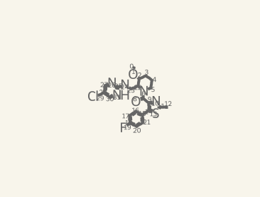 COC1CCCN(C(=O)c2nc(C)sc2-c2ccc(F)cc2)C1CNc1ncc(Cl)cn1